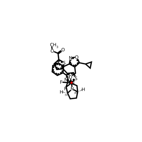 COC(=O)c1ccc(-c2csc(N3[C@@H]4CC[C@H]3C[C@@H](OCc3c(-c5ccccc5OC(F)(F)F)noc3C3CC3)C4)n2)s1